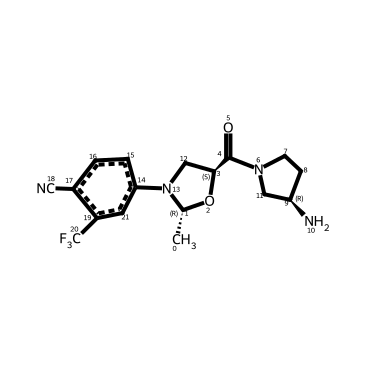 C[C@H]1O[C@H](C(=O)N2CC[C@@H](N)C2)CN1c1ccc(C#N)c(C(F)(F)F)c1